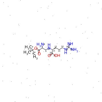 CC(C)(C)OC(=O)C(N)CN[C@@H](CCCNC(=N)N)C(=O)O